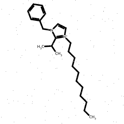 CCCCCCCCCCC[n+]1ccn(Cc2ccccc2)c1C(C)C